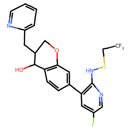 OC1c2ccc(-c3cc(F)cnc3NSCC(F)(F)F)cc2OCC1Cc1ccccn1